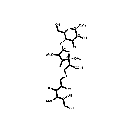 COC1C(C)[C@](OC)(C(COCC(O)C(O)C(OC)[C@@H](O)CO)C(=O)O)O[C@H]1O[C@@H]1C(CO)O[C@H](OC)[C@@H](O)C1O